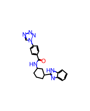 O=C(NC1CCCC(c2nc3ccccc3[nH]2)C1)c1ccc(-n2cnnn2)cc1